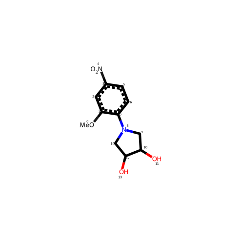 COc1cc([N+](=O)[O-])ccc1N1CC(O)C(O)C1